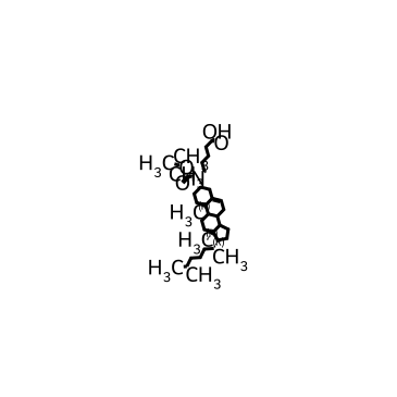 CC(C)CCCC(C)[C@H]1CCC2C3CC=C4CC(N(CCCCC(=O)O)C(=O)OC(C)(C)C)CC[C@]4(C)C3CC[C@@]21C